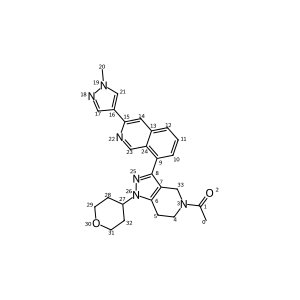 CC(=O)N1CCc2c(c(-c3cccc4cc(-c5cnn(C)c5)ncc34)nn2C2CCOCC2)C1